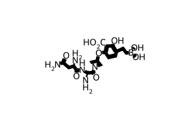 NC(=O)C[C@@H](N)C(=O)N[C@H](N)C(=O)N1CC(Oc2ccc(CCB(O)O)c(O)c2C(=O)O)C1